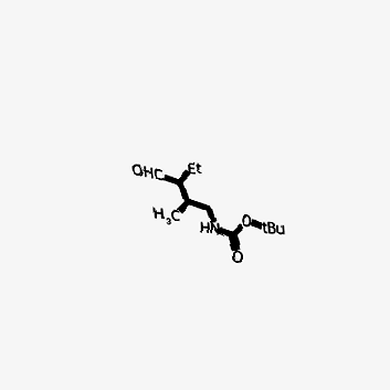 CCC(C=O)C(C)CNC(=O)OC(C)(C)C